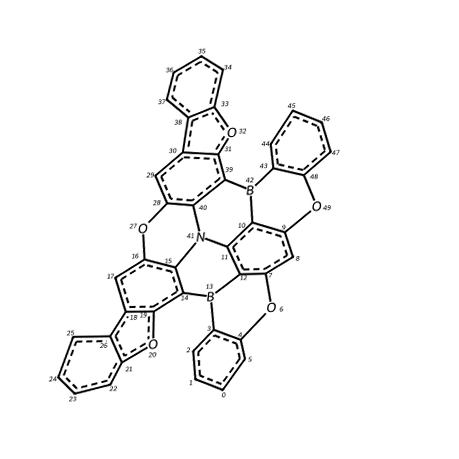 c1ccc2c(c1)Oc1cc3c4c5c1B2c1c2c(cc6c1oc1ccccc16)Oc1cc6c(oc7ccccc76)c(c1N52)B4c1ccccc1O3